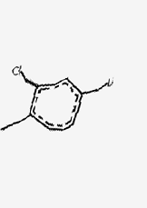 [Li][c]1ccc(C)c(Cl)c1